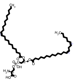 CCCCC/C=C\C/C=C\CCCCCCCCCCCC(=O)OC[C@H](COP(=O)(O)OC[C@H](N)C(=O)O)OC(=O)CCCCCCCCC/C=C\CCCCCCCCCC